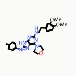 COc1ccc(CCNc2nc(N3CCOCC3)c3nc(Nc4ccc(C)cc4)[nH]c3n2)cc1OC